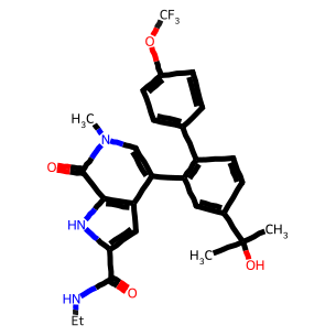 CCNC(=O)c1cc2c(-c3cc(C(C)(C)O)ccc3-c3ccc(OC(F)(F)F)cc3)cn(C)c(=O)c2[nH]1